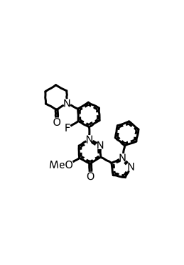 COc1cn(-c2cccc(N3CCCCC3=O)c2F)nc(-c2ccnn2-c2ccccc2)c1=O